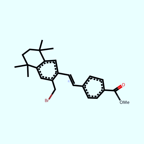 COC(=O)c1ccc(/C=C/c2cc3c(cc2CBr)C(C)(C)CCC3(C)C)cc1